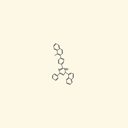 Cc1c(-c2ccc(C3=NC(c4ccccc4)=CC(c4cccc5ccccc45)N3)cc2)ccc2ccccc12